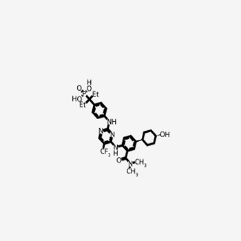 CCC(CC)(c1ccc(Nc2ncc(C(F)(F)F)c(Nc3ccc([C@H]4CC[C@H](O)CC4)cc3C(=O)N(C)C)n2)cc1)P(=O)(O)O